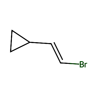 Br/C=C/C1CC1